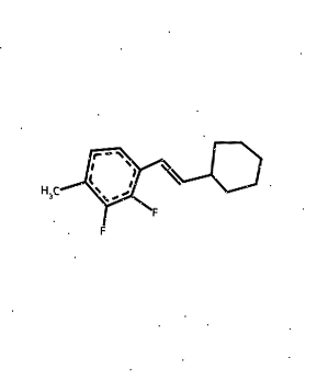 Cc1ccc(C=CC2CCCCC2)c(F)c1F